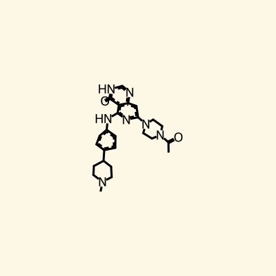 CC(=O)N1CCN(c2cc3nc[nH]c(=O)c3c(Nc3ccc(C4CCN(C)CC4)cc3)n2)CC1